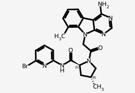 Cc1cccc2c3c(N)ncnc3n(CC(=O)N3C[C@H](C)C[C@H]3C(=O)Nc3cccc(Br)n3)c12